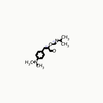 CC(C)/N=C/O/C(C=O)=C/c1ccc(N(C)C)cc1